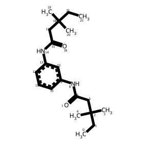 CCC(C)(C)CC(=O)Nc1cccc(NC(=O)CC(C)(C)CC)c1